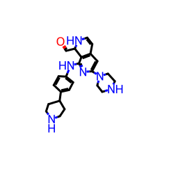 O=CC1NC=Cc2cc(N3CCNCC3)nc(Nc3ccc(C4CCNCC4)cc3)c21